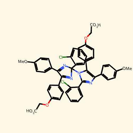 COc1ccc(C2=NC(c3ccccc3Cl)(n3c(-c4ccccc4Cl)nc(-c4ccc(OC)cc4)c3-c3ccc(OCC(=O)O)cc3)N=C2c2ccc(OCC(=O)O)cc2)cc1